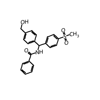 CS(=O)(=O)c1ccc(C(NC(=O)c2ccccc2)c2ccc(CO)cc2)cc1